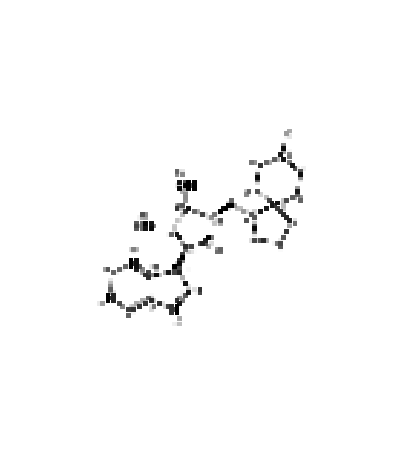 CN1CCC2(CCCN2C[C@H]2O[C@@H](n3cnc4cncnc43)[C@H](O)[C@@H]2O)CC1